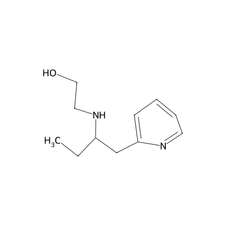 CCC(Cc1ccccn1)NCCO